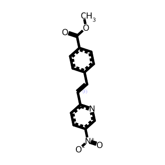 COC(=O)c1ccc(/C=C/c2ccc([N+](=O)[O-])cn2)cc1